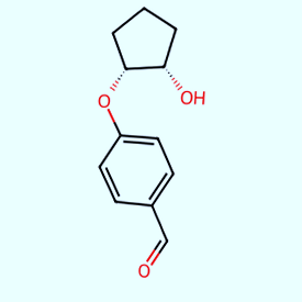 O=Cc1ccc(O[C@@H]2CCC[C@@H]2O)cc1